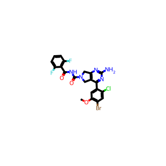 COc1cc(-c2nc(N)nc3c2CN(C(=O)NC(=O)c2c(F)cccc2F)C3)c(Cl)cc1Br